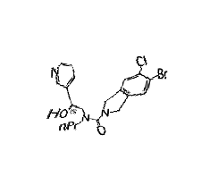 CCCN(C[C@@H](O)c1cccnc1)C(=O)N1Cc2cc(Cl)c(Br)cc2C1